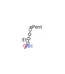 C=CC(=O)Nc1ccc(-c2ccc(-c3ccc(C4CCC(CCCCC)CC4)cc3)cc2CC)cc1